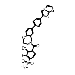 CCc1c(C(=O)N2CCOc3ccc(-c4ccc(-c5cn6ccsc6n5)cc4)cc3C2)ccc(S(C)(=O)=O)c1F